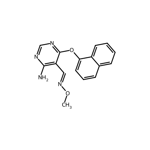 CON=Cc1c(N)ncnc1Oc1cccc2ccccc12